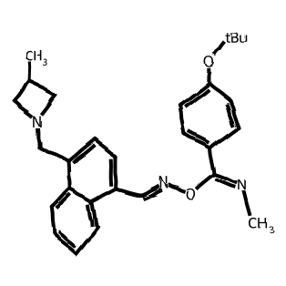 C/N=C(\O/N=C/c1ccc(CN2CC(C)C2)c2ccccc12)c1ccc(OC(C)(C)C)cc1